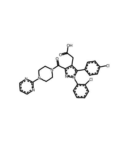 O=C(O)Cc1c(C(=O)N2CCN(c3ncccn3)CC2)nn(-c2ccccc2Cl)c1-c1ccc(Cl)cc1